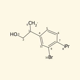 [CH2]C(CO)c1ccc(C(C)C)c(Br)c1